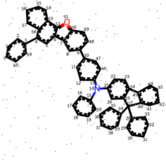 c1ccc(-c2cc3c4cc(-c5ccc(N(c6ccccc6)c6ccc7c(c6)C(c6ccccc6)(c6ccccc6)c6ccccc6-7)cc5)ccc4oc3c3ccccc23)cc1